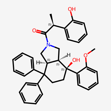 COc1ccccc1[C@]1(O)CCC(c2ccccc2)(c2ccccc2)[C@H]2CN(C(=O)[C@@H](C)c3ccccc3O)C[C@H]21